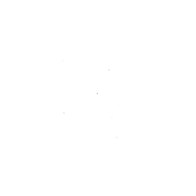 c1ccc(-c2cccc(-c3ccccc3)c2-n2c3ccccc3c3ccccc32)cc1